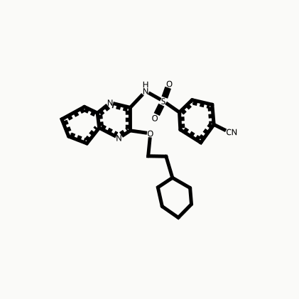 N#Cc1ccc(S(=O)(=O)Nc2nc3ccccc3nc2OCCC2CCCCC2)cc1